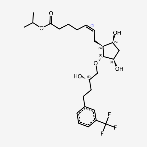 CC(C)OC(=O)CCC/C=C\C[C@@H]1[C@@H](OC[C@@H](O)CCc2cccc(C(F)(F)F)c2)[C@H](O)C[C@@H]1O